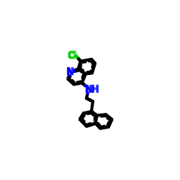 Clc1cccc2c(NCCc3cccc4ccccc34)ccnc12